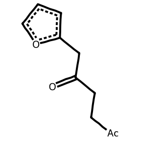 CC(=O)CCC(=O)Cc1ccco1